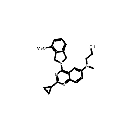 COc1cccc2c1CN(c1nc(C3CC3)nc3ccc(N(C)CCO)cc13)C2